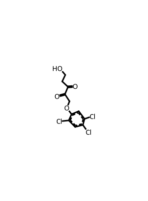 O=C(CCO)C(=O)COc1cc(Cl)c(Cl)cc1Cl